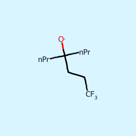 CCCC([O])(CCC)CCC(F)(F)F